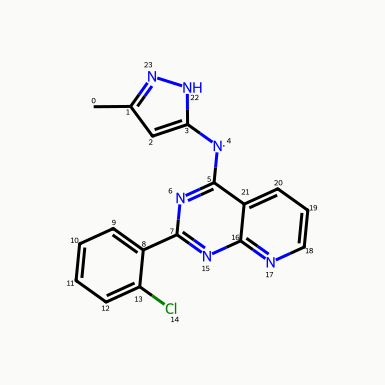 Cc1cc([N]c2nc(-c3ccccc3Cl)nc3ncccc23)[nH]n1